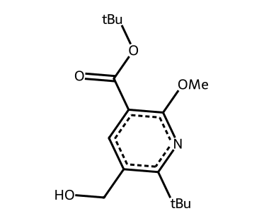 COc1nc(C(C)(C)C)c(CO)cc1C(=O)OC(C)(C)C